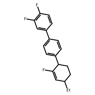 CCC1C=C(F)C(c2ccc(-c3ccc(F)c(F)c3)cc2)CC1